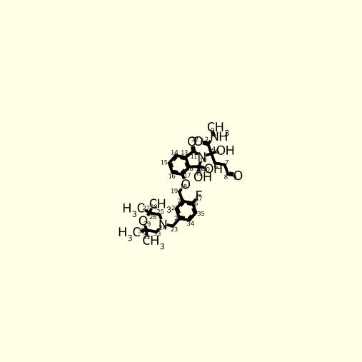 CNC(=O)C(O)(CCC=O)N1C(=O)c2cccc(OCc3cc(CN4CC(C)(C)OC(C)(C)C4)ccc3F)c2C1(O)O